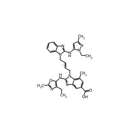 CCc1nc(C)oc1Nc1nc2cc(C(=O)O)cc(C)c2n1C/C=C/Cn1c(Nc2cc(C)nn2CC)nc2ccccc21